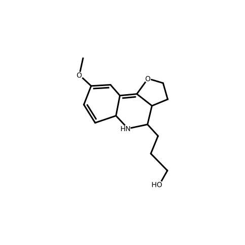 COC1=CC2=C3OCCC3C(CCCO)NC2C=C1